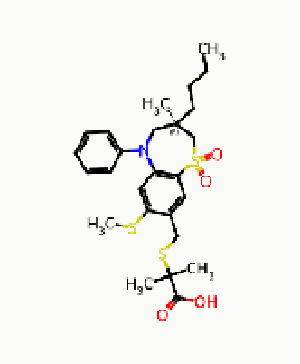 CCCC[C@]1(C)CN(c2ccccc2)c2cc(SC)c(CSC(C)(C)C(=O)O)cc2S(=O)(=O)C1